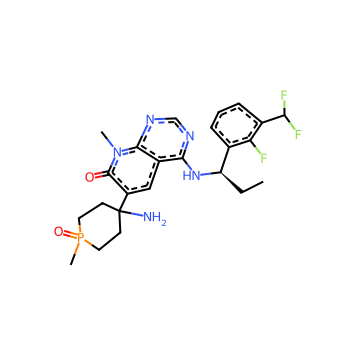 CC[C@@H](Nc1ncnc2c1cc(C1(N)CCP(C)(=O)CC1)c(=O)n2C)c1cccc(C(F)F)c1F